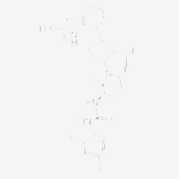 CS(=O)(=O)Nc1ccccc1-c1ccc(N2CCC[C@@H](NC(=O)Nc3ccc(Cl)cc3F)C2=O)c(C(F)F)c1